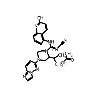 CC(=O)O.Cc1ccc2c(N/C(=N\C#N)N3CCN(c4ccc5nccn5n4)CC3C(C)C)cccc2n1